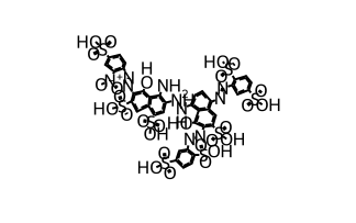 Nc1c(NNc2ccc(N=Nc3cc(S(=O)(=O)O)ccc3S(=O)(=O)O)c3cc(S(=O)(=O)O)c(N=Nc4cc(S(=O)(=O)O)ccc4S(=O)(=O)O)c(O)c23)cc(S(=O)(=O)O)c2cc(S(=O)(=O)O)c(N=Nc3ccc(S(=O)(=O)O)cc3[N+](=O)[O-])c(O)c12